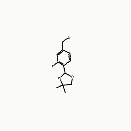 CC1(C)COC(c2ccc(CBr)cc2F)N1